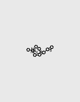 c1ccc(-c2nc(-c3ccccc3)nc(-c3cccc4c3sc3c4ccc4c5ccc(-c6ccc7c(c6)sc6ccccc67)cc5n(-c5ccccc5)c43)n2)cc1